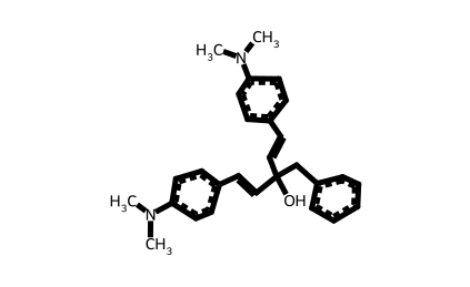 CN(C)c1ccc(C=CC(O)(C=Cc2ccc(N(C)C)cc2)Cc2ccccc2)cc1